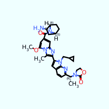 COc1cc(C(=O)N2[C@H]3CC[C@@H]2[C@H](N)C3)cc2nc(-c3cc4ccc([C@@H](C)N5CCOC5=O)nc4n3CC3CC3)c(C)n12